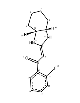 O=C(/C=C1/N[C@H]2CCCC[C@H]2N1)c1ccccc1F